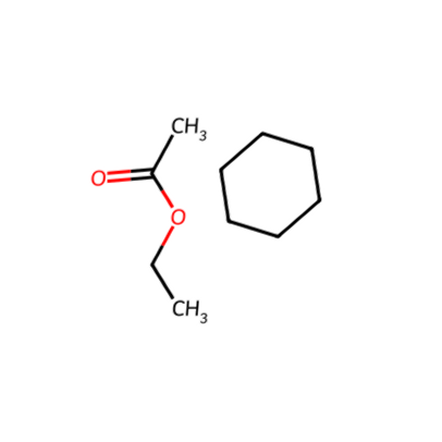 C1CCCCC1.CCOC(C)=O